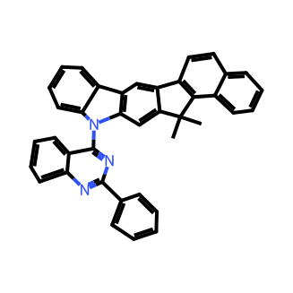 CC1(C)c2cc3c(cc2-c2ccc4ccccc4c21)c1ccccc1n3-c1nc(-c2ccccc2)nc2ccccc12